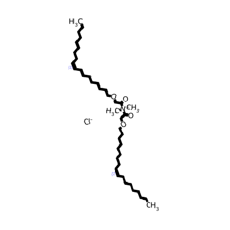 CCCCCCCC/C=C\CCCCCCCCOCC(=O)[N+](C)(C)C(=O)COCCCCCCCC/C=C\CCCCCCCC.[Cl-]